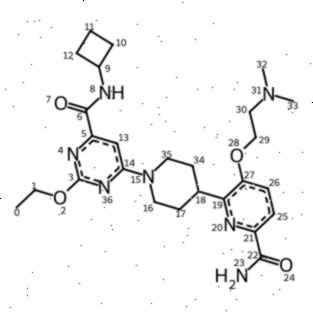 CCOc1nc(C(=O)NC2CCC2)cc(N2CCC(c3nc(C(N)=O)ccc3OCCN(C)C)CC2)n1